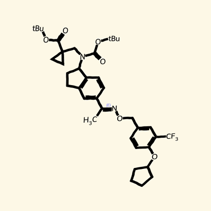 C/C(=N\OCc1ccc(OC2CCCC2)c(C(F)(F)F)c1)c1ccc2c(c1)CCC2N(CC1(C(=O)OC(C)(C)C)CC1)C(=O)OC(C)(C)C